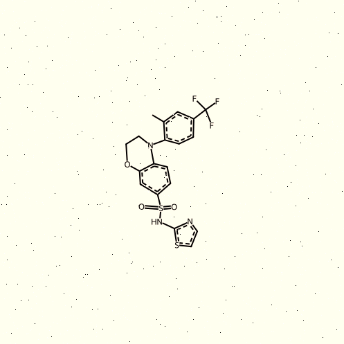 Cc1cc(C(F)(F)F)ccc1N1CCOc2cc(S(=O)(=O)Nc3nccs3)ccc21